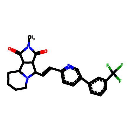 CN1C(=O)C2C(C1=O)C1CCCCN1C2/C=C/c1ccc(-c2cccc(C(F)(F)F)c2)cn1